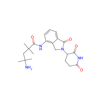 CC(C)(N)CC(C)(C)C(=O)Nc1cccc2c1CN(C1CCC(=O)NC1=O)C2=O